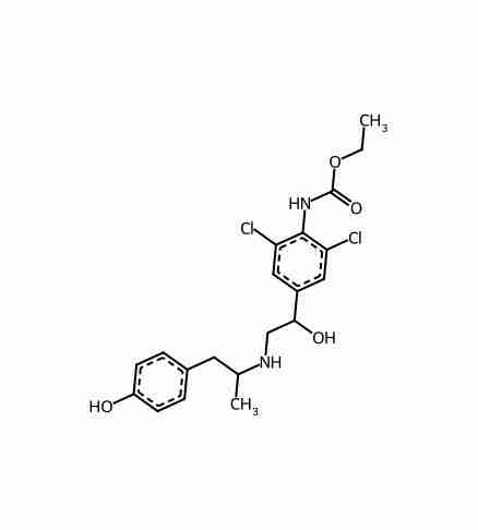 CCOC(=O)Nc1c(Cl)cc(C(O)CNC(C)Cc2ccc(O)cc2)cc1Cl